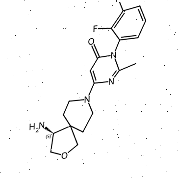 Cc1nc(N2CCC3(CC2)COC[C@H]3N)cc(=O)n1-c1cccc(F)c1F